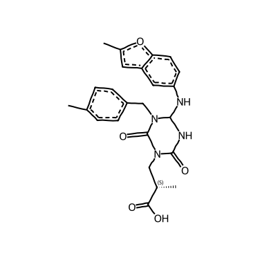 Cc1ccc(CN2C(=O)N(C[C@H](C)C(=O)O)C(=O)NC2Nc2ccc3oc(C)cc3c2)cc1